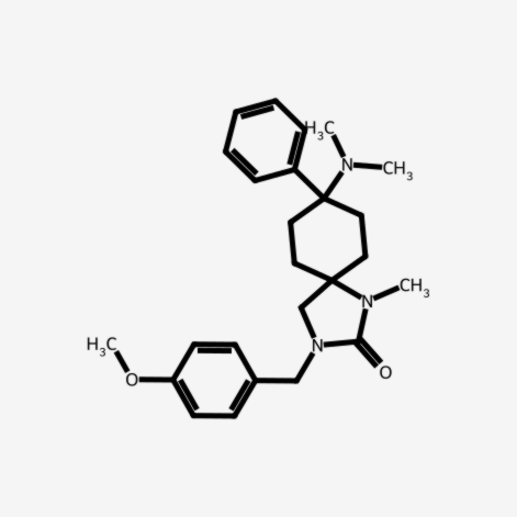 COc1ccc(CN2CC3(CCC(c4ccccc4)(N(C)C)CC3)N(C)C2=O)cc1